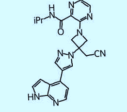 CC(C)NC(=O)c1nccnc1N1CC(CC#N)(n2cc(-c3ccnc4[nH]ccc34)cn2)C1